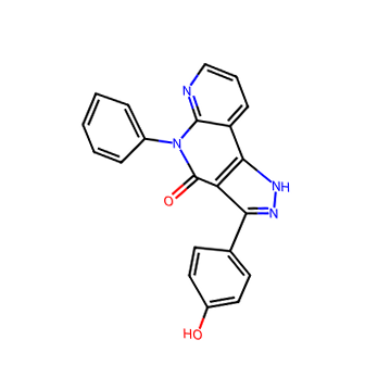 O=c1c2c(-c3ccc(O)cc3)n[nH]c2c2cccnc2n1-c1ccccc1